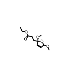 CCOC(=O)CCC1(OC)C=CC(OC)O1